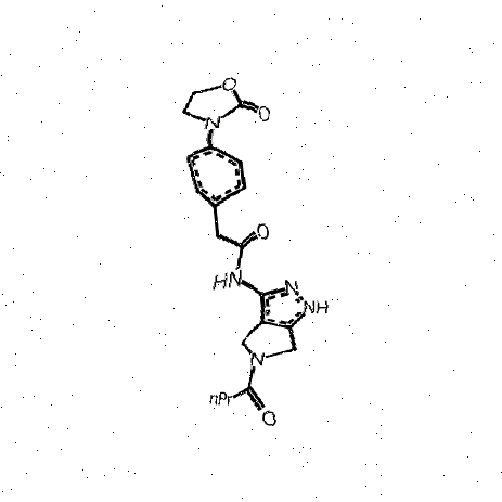 CCCC(=O)N1Cc2[nH]nc(NC(=O)Cc3ccc(N4CCOC4=O)cc3)c2C1